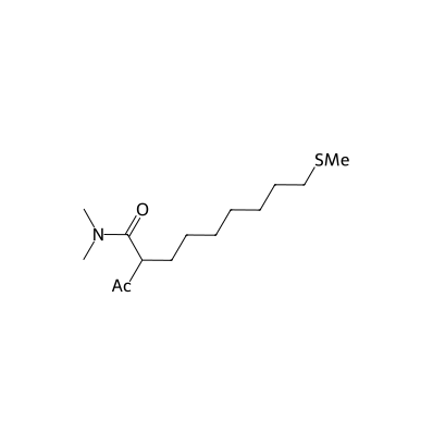 CSCCCCCCCC(C(C)=O)C(=O)N(C)C